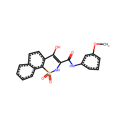 COc1cccc(NC(=O)C2=C(O)c3ccc4ccccc4c3S(=O)(=O)N2)c1